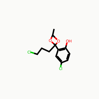 CC1OC(CCCCl)(c2cc(Cl)ccc2O)O1